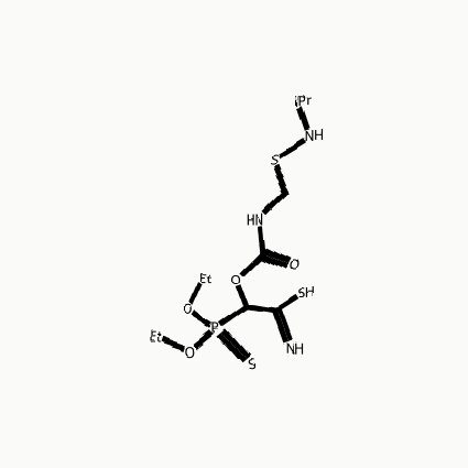 CCOP(=S)(OCC)C(OC(=O)NCSNC(C)C)C(=N)S